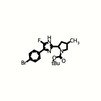 CC1CC(c2nc(-c3ccc(Br)cc3)c(F)[nH]2)N(C(=O)OC(C)(C)C)C1